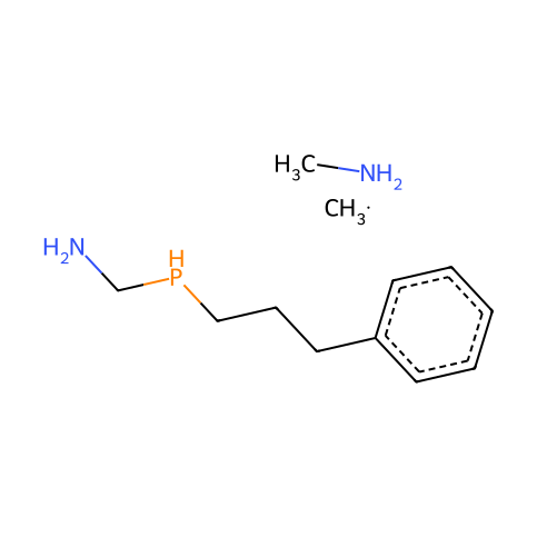 CN.NCPCCCc1ccccc1.[CH3]